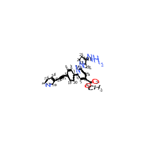 COC(=O)c1cc(-c2ccc(C#Cc3cccnc3)cc2)nc(N2CCC(N)C2)c1